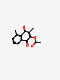 CC(=O)OC1=C(C)C(=O)c2c(C)cccc2C1=O